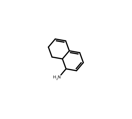 NC1C=CC=C2C=CCCC21